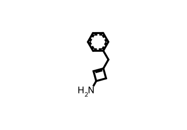 NC1C=C(Cc2ccccc2)C1